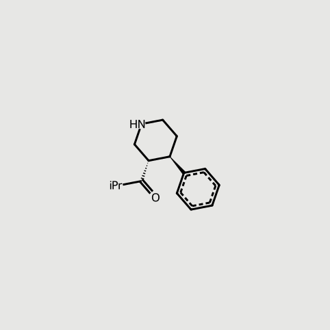 CC(C)C(=O)[C@@H]1CNCC[C@H]1c1ccccc1